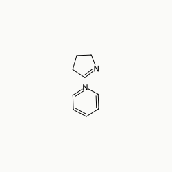 C1=NCCC1.c1ccncc1